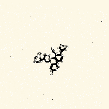 Cn1cnnc1C1CCN(c2c(-c3ccc(F)nc3)ccc(-c3cn[nH]c3)c2C#N)CC1